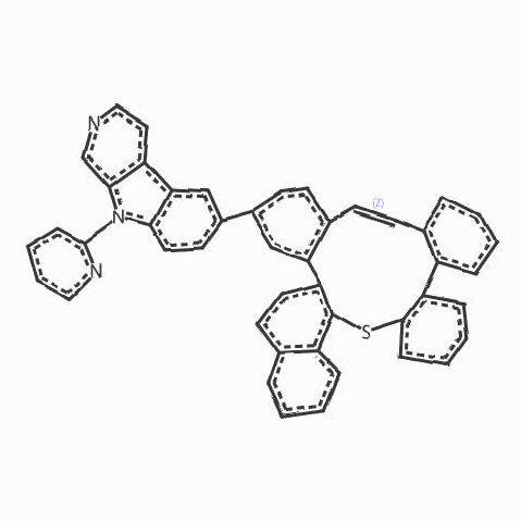 C1=C\c2ccc(-c3ccc4c(c3)c3ccncc3n4-c3ccccn3)cc2-c2ccc3ccccc3c2Sc2ccccc2-c2ccccc2/1